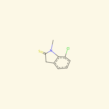 CN1C(=S)Cc2cccc(Cl)c21